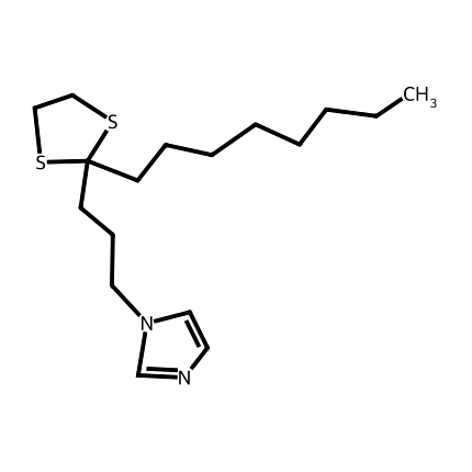 CCCCCCCCC1(CCCn2ccnc2)SCCS1